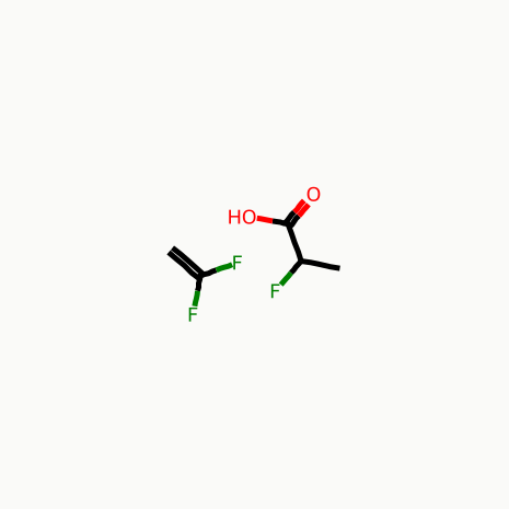 C=C(F)F.CC(F)C(=O)O